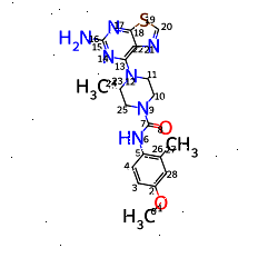 COc1ccc(NC(=O)N2CCN(c3nc(N)nc4scnc34)[C@@H](C)C2)c(C)c1